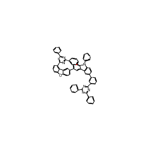 c1ccc(-c2nc(-c3ccccc3)nc(-c3cccc(-c4ccc5c(c4)c4cc(-c6ccc7oc8cccc(-c9nc(-c%10ccccc%10)nc(-c%10ccccc%10)n9)c8c7c6)ccc4n5-c4ccccc4)c3)n2)cc1